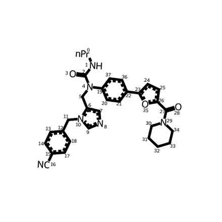 CCCNC(=O)N(Cc1cncn1Cc1ccc(C#N)cc1)c1ccc(-c2ccc(C(=O)N3CCCCC3)o2)cc1